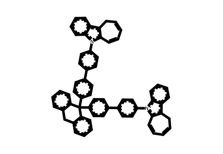 C1=CCc2c(n(-c3ccc(-c4ccc(C5(c6ccc(-c7ccc(-n8c9c(c%10ccccc%108)CC=CC=C9)cc7)cc6)c6ccccc6Cc6ccccc65)cc4)cc3)c3ccccc23)C=C1